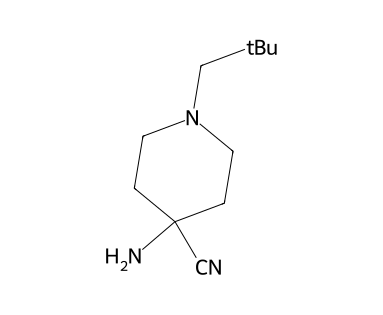 CC(C)(C)CN1CCC(N)(C#N)CC1